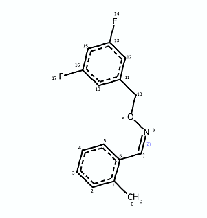 Cc1ccccc1/[C]=N\OCc1cc(F)cc(F)c1